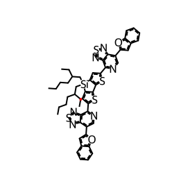 CCCCC(CC)C[Si]1(CC(CC)CCCC)c2cc(-c3ncc(-c4cc5ccccc5o4)c4nsnc34)sc2-c2sc(-c3ncc(-c4cc5ccccc5o4)c4nsnc34)cc21